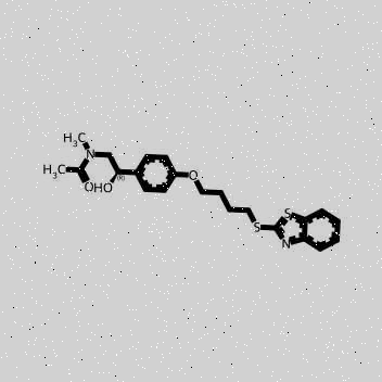 CC(=O)N(C)C[C@H](O)c1ccc(OCCCCSc2nc3ccccc3s2)cc1